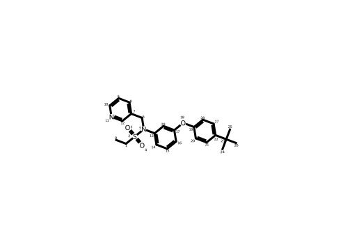 CCS(=O)(=O)N(Cc1cccnc1)c1cccc(Oc2ccc(C(C)(C)C)cc2)c1